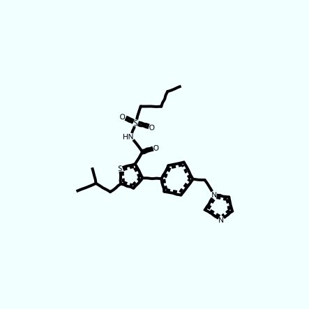 CCCCS(=O)(=O)NC(=O)c1sc(CC(C)C)cc1-c1ccc(Cn2ccnc2)cc1